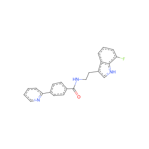 O=C(NCCc1c[nH]c2c(F)cccc12)c1ccc(-c2ccccn2)cc1